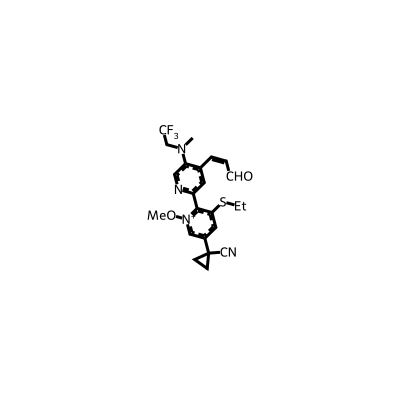 CCSc1cc(C2(C#N)CC2)c[n+](OC)c1-c1cc(/C=C\C=O)c(N(C)CC(F)(F)F)cn1